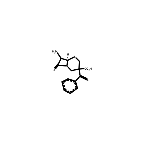 NC1C(=O)N2CC(C(=O)O)(C(=O)c3ccccc3)CS[C@H]12